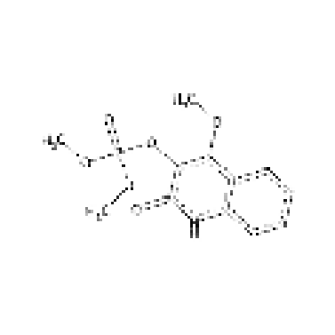 COc1c(OP(=O)(OC)OC)c(=O)[nH]c2ccccc12